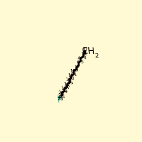 C=CCCCCCCCCCCCCCCCCCCCCCF